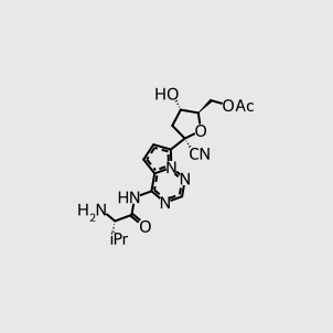 CC(=O)OC[C@H]1O[C@@](C#N)(c2ccc3c(NC(=O)[C@@H](N)C(C)C)ncnn23)C[C@@H]1O